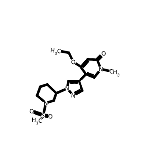 CCOc1cc(=O)n(C)cc1-c1cnn(C2CCCN(S(C)(=O)=O)C2)c1